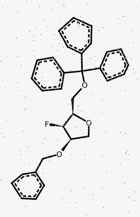 F[C@@H]1[C@H](OCc2ccccc2)CO[C@@H]1COC(c1ccccc1)(c1ccccc1)c1ccccc1